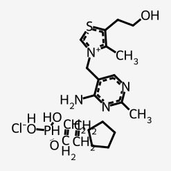 C1CCCC1.C=C.C=C.Cc1ncc(C[n+]2csc(CCO)c2C)c(N)n1.O=[PH](O)O.[Cl-]